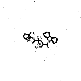 CCC(CC(C)(C)C(=O)OC1CC2CCC1(C)C2(C)C)C(=O)n1c2ccccc2c2ccccc21